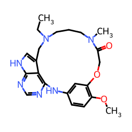 CCN1CCCN(C)C(=O)COc2cc(ccc2OC)Nc2ncnc3[nH]cc(c23)C1